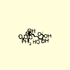 CC(OC(=O)P)OP(=O)(O)CC[C@H]1O[C@H](C)[C@@H](O)[C@@H](O)[C@@H]1O